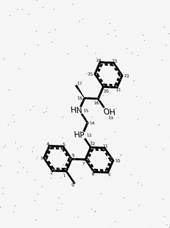 Cc1ccccc1-c1ccccc1PCN[C@@H](C)C(O)c1ccccc1